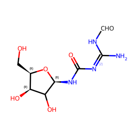 N/C(=N/C(=O)N[C@@H]1O[C@H](CO)[C@H](O)C1O)NC=O